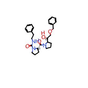 O=C([C@@H]1CCCN1C(=O)NCCc1ccccc1)N1CCCC1[C@H](O)COCc1ccccc1